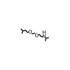 CC(C)CCOCCOCCNC(C)C